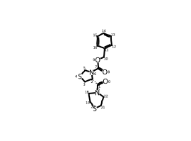 O=C([C@@H]1CSCN1C(=O)OCc1ccccc1)N1CCSCC1